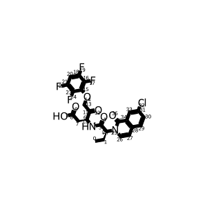 CC[C@@H](C(=O)N[C@@H](CC(=O)O)C(=O)COc1c(F)c(F)cc(F)c1F)n1ccc2ccc(Cl)cc2c1=O